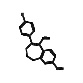 CCCCCCC1=C(c2ccc(F)cc2)CCCc2cc(OC)ccc21